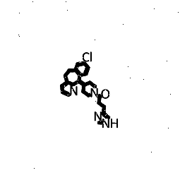 O=C(CCc1c[nH]cn1)N1CCC(=C2c3ccc(Cl)cc3CCc3cccnc32)CC1